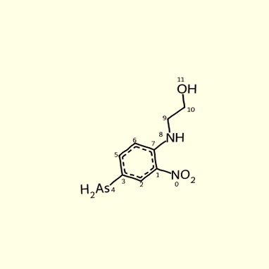 O=[N+]([O-])c1cc([AsH2])ccc1NCCO